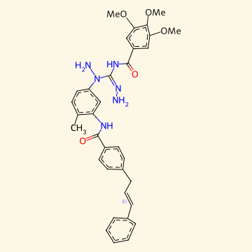 COc1cc(C(=O)NC(=NN)N(N)c2ccc(C)c(NC(=O)c3ccc(C/C=C/c4ccccc4)cc3)c2)cc(OC)c1OC